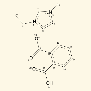 CCn1cc[n+](C)c1.O=C([O-])c1ccccc1C(=O)O